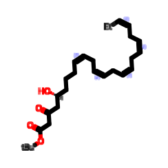 CC/C=C\C/C=C\C/C=C\C/C=C\C/C=C\CCC[C@@H](O)CC(=O)CC(=O)OC(C)(C)C